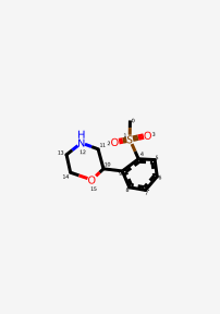 CS(=O)(=O)c1cc[c]cc1C1CNCCO1